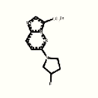 CCOC(=O)c1cnc2ccc(N3CCC(F)C3)nn12